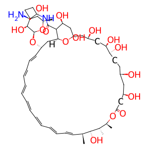 C[C@@H]1[C@H](O)[C@@H](C)/C=C/C=C/C=C/C=C/C=C/C=C/C=C/[C@H](O[C@@H]2O[C@H](C)[C@@H](O)[C@H](N)[C@@H]2O)C[C@@H]2O[C@](O)(C[C@@H](O)C[C@@H](O)[C@H](O)CC[C@@H](O)C[C@@H](O)CC(=O)O[C@H]1C)C[C@H](O)C2C(=O)NC1CCC1